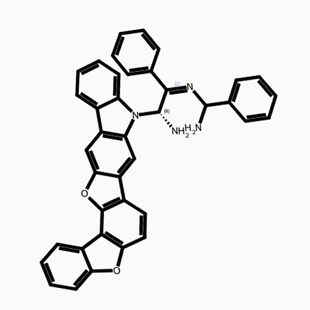 NC(/N=C(/c1ccccc1)[C@H](N)n1c2ccccc2c2cc3oc4c(ccc5oc6ccccc6c54)c3cc21)c1ccccc1